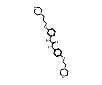 O=C(Nc1ccc(OCCN2CCOCC2)cc1)Nc1cccc(OCCCN2CCOCC2)c1